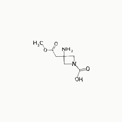 COC(=O)CC1(N)CN(C(=O)O)C1